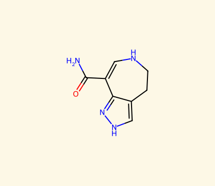 NC(=O)C1=CNCCc2c[nH]nc21